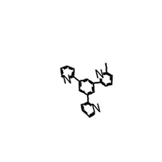 Cc1cccc(-c2cc(-c3ccccn3)cc(-c3ccccn3)c2)n1